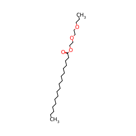 CCCCCCCCCCCCCCCCCC(=O)OCCOCCOCCC